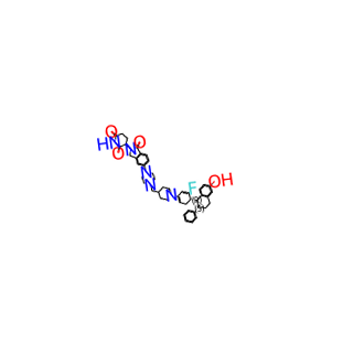 O=C1CCC(N2Cc3cc(N4CCN(CC5CCN(C6=CCC([C@@H]7c8ccc(O)cc8CC[C@@H]7c7ccccc7)C(F)=C6)CC5)CC4)ccc3C2=O)C(=O)N1